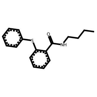 CCCCNC(=O)c1ccccc1Sc1ccccc1